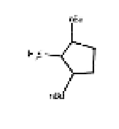 CCCCC1CCC(CCCC)C1[SiH3]